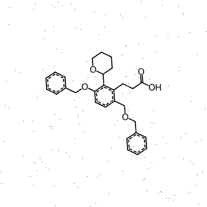 O=C(O)CCc1c(COCc2ccccc2)ccc(OCc2ccccc2)c1C1CCCCO1